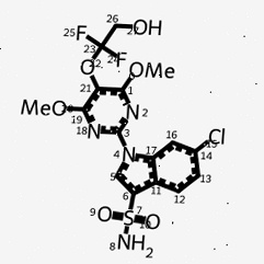 COc1nc(-n2cc(S(N)(=O)=O)c3ccc(Cl)cc32)nc(OC)c1OC(F)(F)CO